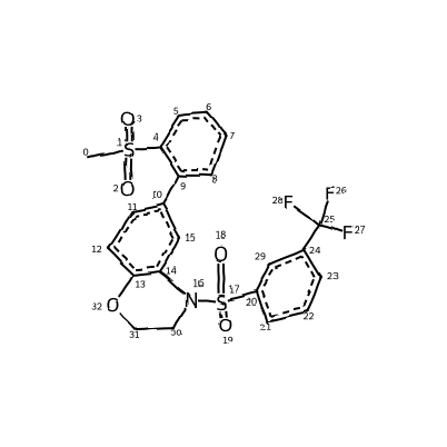 CS(=O)(=O)c1ccccc1-c1ccc2c(c1)N(S(=O)(=O)c1cccc(C(F)(F)F)c1)CCO2